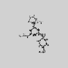 [CH][C@H]1CCCN1c1cc(CCC)nc(Nc2ccc(OC)cc2)n1